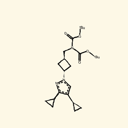 CC(C)(C)OC(=O)N(C[C@H]1C[C@H](n2cc(C3CC3)c(C3CC3)n2)C1)C(=O)OC(C)(C)C